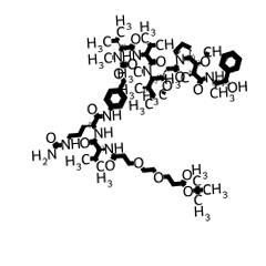 CC[C@@H](C)[C@H]([C@H](CC(=O)N1CCC[C@@H]1[C@@H](OC)[C@H](C)C(=O)N[C@@H](C)[C@H](O)c1ccccc1)OC)N(C)C(=O)C(NC(=O)[C@@H](C(C)C)N(C)C(=O)OCc1ccc(NC(=O)[C@H](CCCNC(N)=O)NC(=O)[C@@H](NC(=O)CCOCCOCCC(=O)OC(C)(C)C)C(C)C)cc1)C(C)C